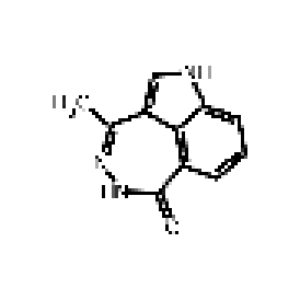 CC1=NNC(=O)c2cccc3[nH]cc1c23